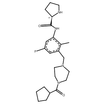 Cc1c(CN2CCN(C(=O)C3CCCC3)CC2)cc(F)cc1NC(=O)[C@H]1CCCN1